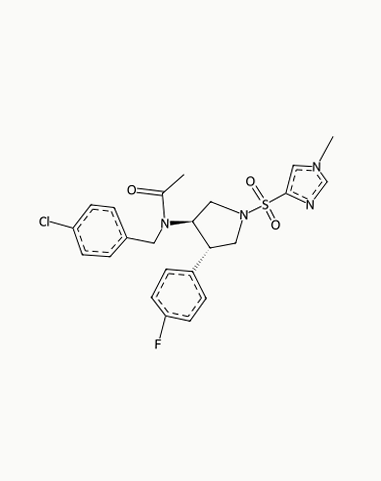 CC(=O)N(Cc1ccc(Cl)cc1)[C@H]1CN(S(=O)(=O)c2cn(C)cn2)C[C@@H]1c1ccc(F)cc1